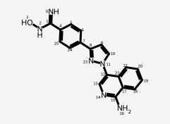 N=C(NO)c1ccc(-c2ccn(-c3cnc(N)c4ccccc34)n2)cc1